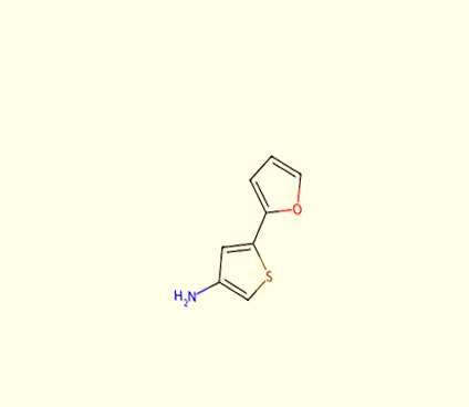 Nc1csc(-c2ccco2)c1